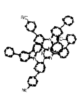 N#Cc1ccc(-c2ccc(-c3nc(-c4cccc(-c5ccccc5C#N)c4)nc(-c4ccc(-c5ccc(C#N)cc5)cc4-n4c5ccccc5c5cc(-c6ccccc6)ccc54)n3)c(-n3c4ccccc4c4cc(-c5ccccc5)ccc43)c2)cc1